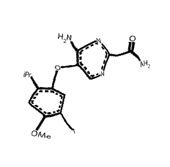 COc1cc(C(C)C)c(Oc2cnc(C(N)=O)nc2N)cc1I